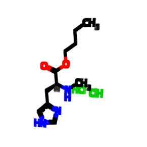 CCCCOC(=O)[C@H](Cc1c[nH]cn1)NC.Cl.Cl